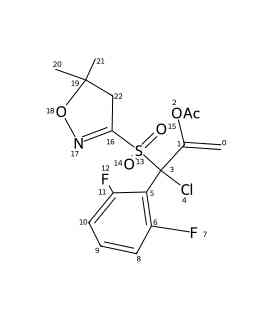 C=C(OC(C)=O)C(Cl)(c1c(F)cccc1F)S(=O)(=O)C1=NOC(C)(C)C1